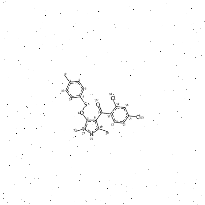 Cc1ccc(SOc2c(C(=O)c3ccc(Cl)cc3Cl)c(C)nn2C)cc1